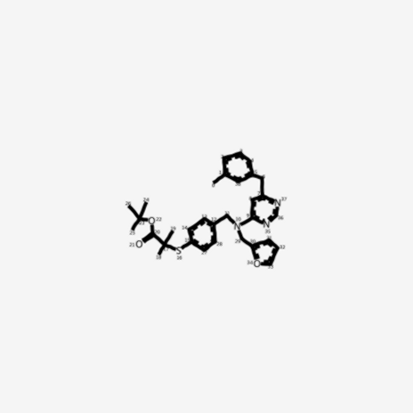 Cc1cccc(Cc2cc(N(Cc3ccc(SC(C)(C)C(=O)OC(C)(C)C)cc3)Cc3ccco3)ncn2)c1